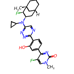 Cn1cc(F)c(-c2ccc(-c3ncc(N(C4CC4)[C@@H]4C[C@H]5CCC[C@](C)(C5)[C@@H]4F)nn3)c(O)c2)nc1=O